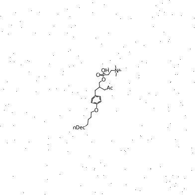 CCCCCCCCCCCCCCOc1ccc(CC(COP(=O)(O)CC[N+](C)(C)C)CC(C)=O)cc1